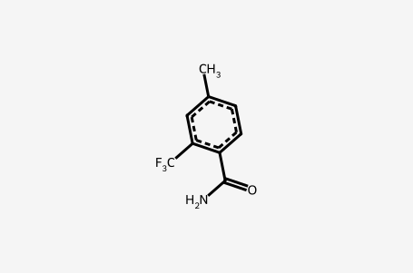 Cc1ccc(C(N)=O)c(C(F)(F)F)c1